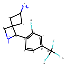 NC1CC2(CNC2c2ccc(C(F)(F)F)cc2F)C1